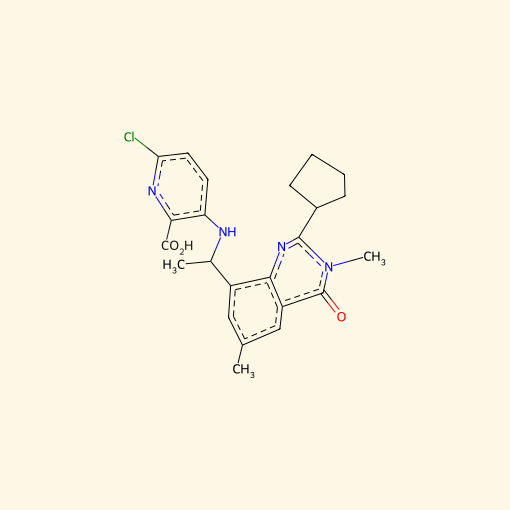 Cc1cc(C(C)Nc2ccc(Cl)nc2C(=O)O)c2nc(C3CCCC3)n(C)c(=O)c2c1